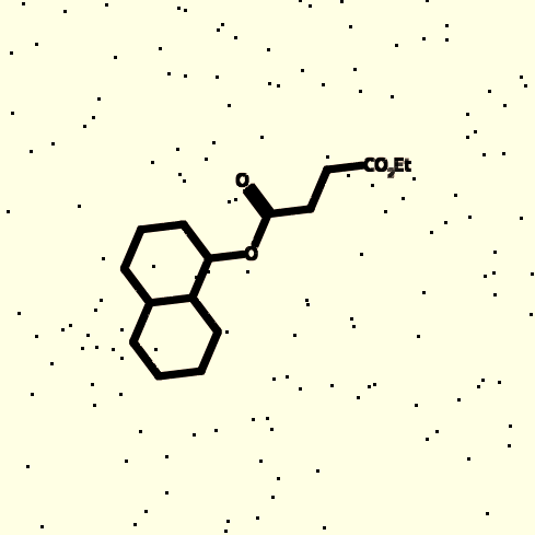 CCOC(=O)CCC(=O)OC1CCCC2CCCCC21